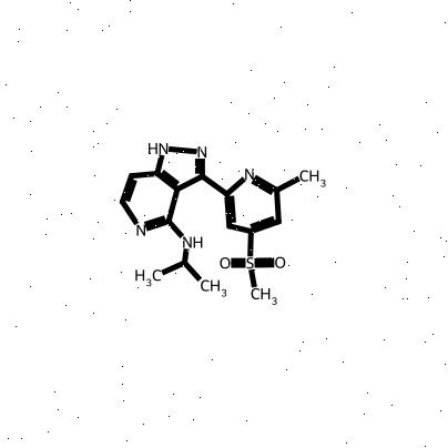 Cc1cc(S(C)(=O)=O)cc(-c2n[nH]c3ccnc(NC(C)C)c23)n1